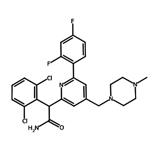 CN1CCN(Cc2cc(-c3ccc(F)cc3F)nc(C(C(N)=O)c3c(Cl)cccc3Cl)c2)CC1